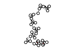 c1ccc([Si](c2ccccc2)(c2cccc(-c3cc(-c4ccc5c(c4)sc4c([Si](c6ccccc6)(c6ccccc6)c6cccc7c6sc6ccccc67)cccc45)cc4c3sc3ccccc34)c2)c2cccc(-n3c4ccccc4c4cc(-c5cccc6c5c5ccccc5n6-c5ccc6oc7ccc(-c8cccc(-c9ccc%10oc%11ccc(-n%12c%13ccccc%13c%13ccccc%13%12)cc%11c%10c9)c8)cc7c6c5)ccc43)c2)cc1